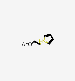 CC(=O)OCC[SH]1C=CC=C1